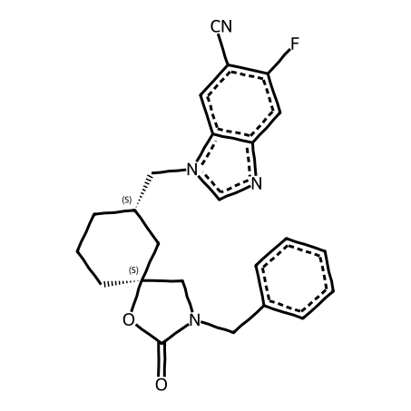 N#Cc1cc2c(cc1F)ncn2C[C@H]1CCC[C@]2(C1)CN(Cc1ccccc1)C(=O)O2